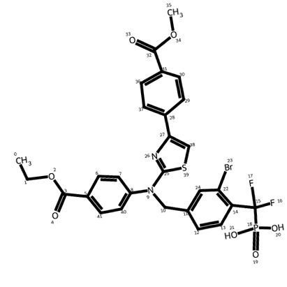 CCOC(=O)c1ccc(N(Cc2ccc(C(F)(F)P(=O)(O)O)c(Br)c2)c2nc(-c3ccc(C(=O)OC)cc3)cs2)cc1